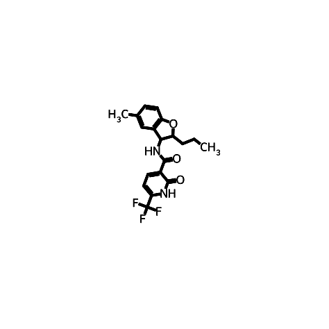 CCCC1Oc2ccc(C)cc2C1NC(=O)c1ccc(C(F)(F)F)[nH]c1=O